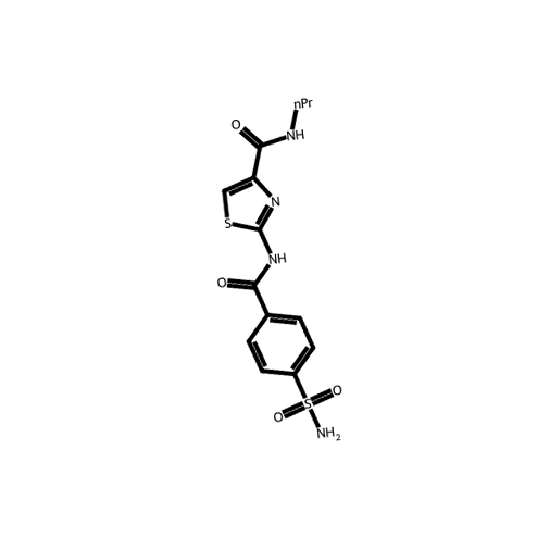 CCCNC(=O)c1csc(NC(=O)c2ccc(S(N)(=O)=O)cc2)n1